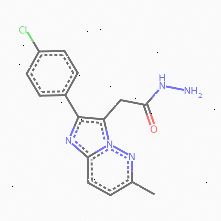 Cc1ccc2nc(-c3ccc(Cl)cc3)c(CC(=O)NN)n2n1